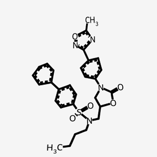 CCCCN(CC1CN(c2ccc(-c3noc(C)n3)cc2)C(=O)O1)S(=O)(=O)c1ccc(-c2ccccc2)cc1